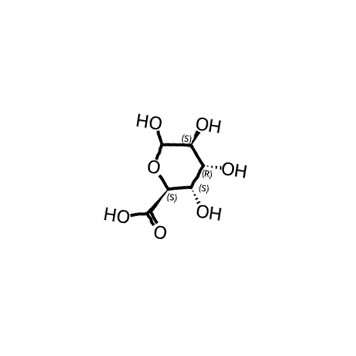 O=C(O)[C@H]1OC(O)[C@@H](O)[C@H](O)[C@@H]1O